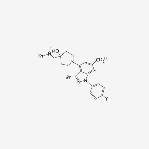 CC(C)c1nn(-c2ccc(F)cc2)c2nc(C(=O)O)cc(N3CCC(O)(CN(C)C(C)C)CC3)c12